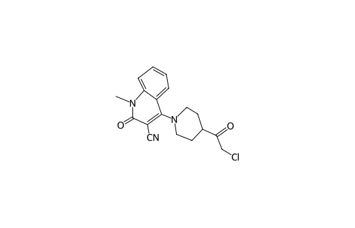 Cn1c(=O)c(C#N)c(N2CCC(C(=O)CCl)CC2)c2ccccc21